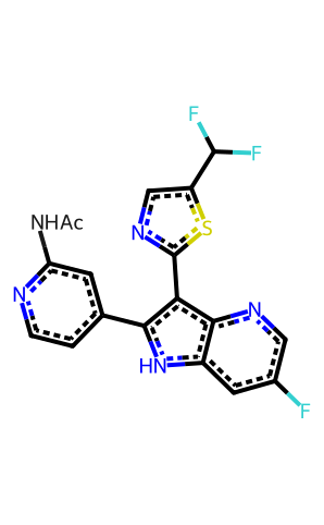 CC(=O)Nc1cc(-c2[nH]c3cc(F)cnc3c2-c2ncc(C(F)F)s2)ccn1